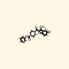 Cc1c(C(=O)N2CCN(C(=O)Oc3cccnc3)CC2)oc2ccc(Cl)cc12